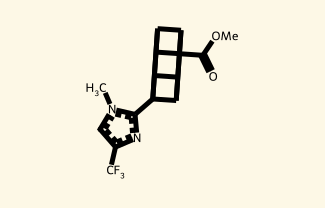 COC(=O)C12C3C4C1C1C2C3C41c1nc(C(F)(F)F)cn1C